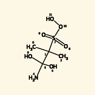 CC(C)(C(N)(O)O)S(=O)(=O)OO